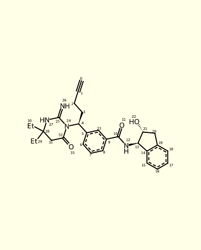 C#CCC[C@@H](c1cccc(C(=O)N[C@@H]2c3ccccc3C[C@H]2O)c1)N1C(=N)NC(CC)(CC)CC1=O